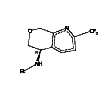 CCN[C@H]1COCc2nc(C(F)(F)F)ccc21